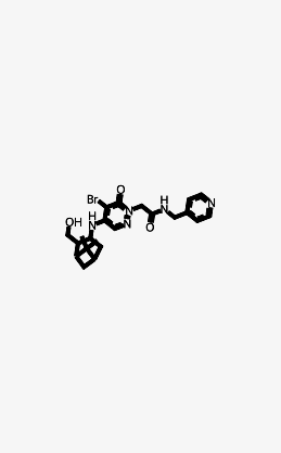 CC1(C)C2CC(Nc3cnn(CC(=O)NCc4ccncc4)c(=O)c3Br)C(CO)C1C2